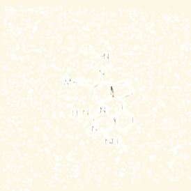 COc1cc(N2C3=C(CCCC3c3ccccc3)C(N)N(C)C2N)ccc1-n1cnc(Cl)c1